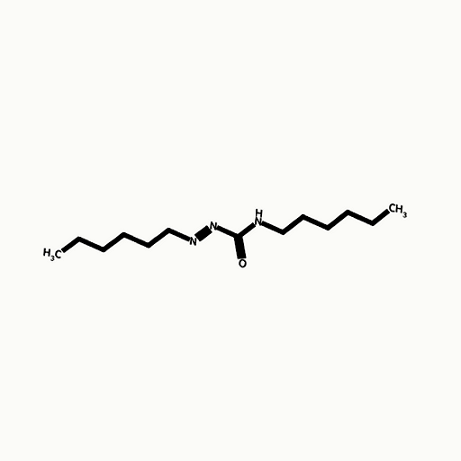 CCCCCCN=NC(=O)NCCCCCC